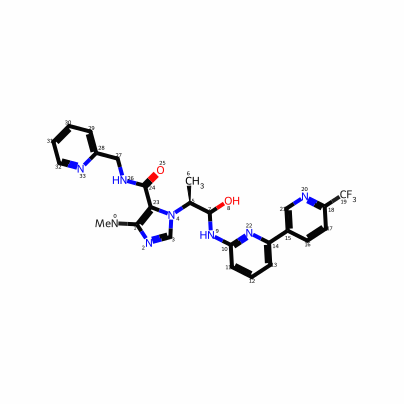 CNc1ncn([C@@H](C)C(O)Nc2cccc(-c3ccc(C(F)(F)F)nc3)n2)c1C(=O)NCc1ccccn1